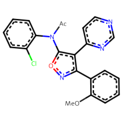 COc1ccccc1-c1noc(N(C(C)=O)c2ccccc2Cl)c1-c1ccncn1